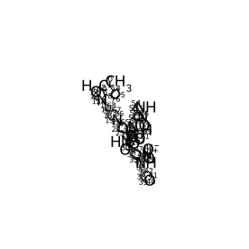 CC(C)c1ccccc1[C@@H]1COCCN1C1CC2(CCN(c3ccc(C(=O)NS(=O)(=O)c4ccc(NCC5CCOCC5)c([N+](=O)[O-])c4)c(N4c5cc6cc[nH]c6nc5O[C@@H]5COC[C@H]54)c3)CC2)C1